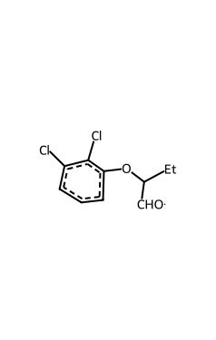 CCC([C]=O)Oc1cccc(Cl)c1Cl